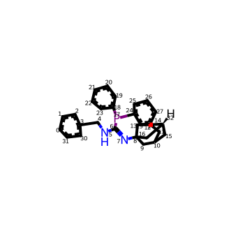 c1ccc(CN/C(=N/C23CC4CC(C2)[C@H](C4)C3)P(c2ccccc2)c2ccccc2)cc1